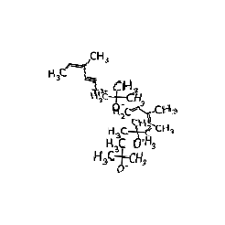 C=CC(C)=CC.CC(C)(C)[O-].CC(C)(C)[O-].CC(C)(C)[O-].CC=C(C)C=[CH][Ti+3]